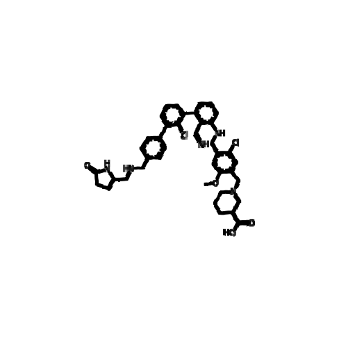 COc1cc(CNc2cccc(-c3cccc(-c4ccc(CNCC5CCC(=O)N5)cc4)c3Cl)c2C=N)c(Cl)cc1CN1CCCC(C(=O)O)C1